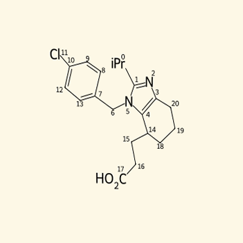 CC(C)c1nc2c(n1Cc1ccc(Cl)cc1)C(CCC(=O)O)CCC2